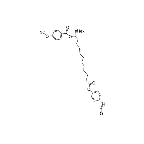 CCCCCC[C@H](CCCCCCCCCCC(=O)Oc1ccc(N=C=O)cc1)OC(=O)c1ccc(OC#N)cc1